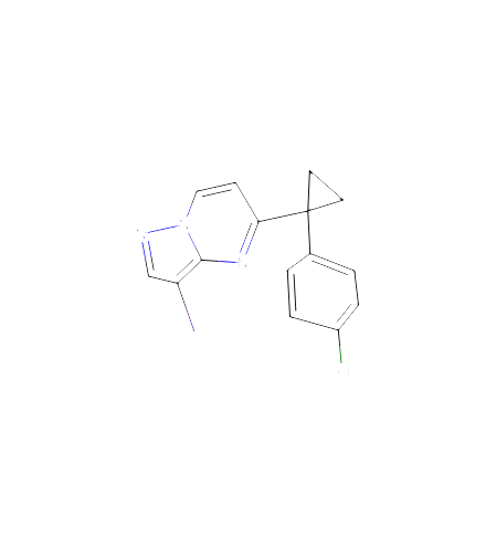 Clc1ccc(C2(c3ccn4ncc(I)c4n3)CC2)cc1